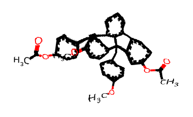 COc1ccc(C2(c3ccc(OC)cc3)c3cc(OC(C)=O)ccc3-c3cccc(C#Cc4ccc(OC(C)=O)cc4)c32)cc1